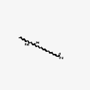 CCCC=CCC(O)CCC(O)CCCCCCCCCCCCCC(=O)O